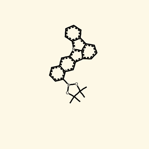 CC1(C)OB(c2cccc3cc4c(cc23)c2cccc3c5ccccc5n4c32)OC1(C)C